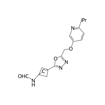 CC(C)c1ccc(OCc2nnc(C34CC(NC=O)(C3)C4)o2)cn1